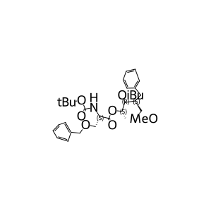 COC[C@H](Cc1ccccc1)[C@@H](OCC(C)C)[C@H](C)OC(=O)[C@H](COCc1ccccc1)NC(=O)OC(C)(C)C